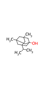 CC(C)C12CC3(C)CC(C)(CC(O)(C3)C1)C2